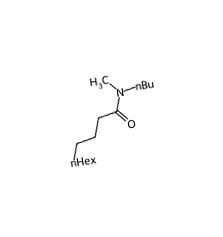 [CH2]CCCCCCCCC(=O)N(C)CCCC